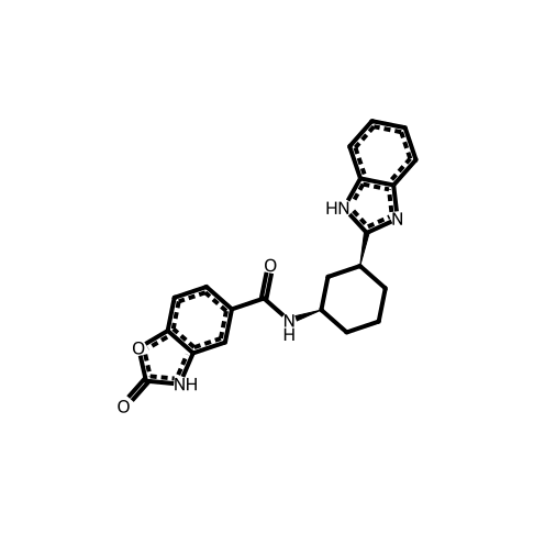 O=C(N[C@@H]1CCC[C@H](c2nc3ccccc3[nH]2)C1)c1ccc2oc(=O)[nH]c2c1